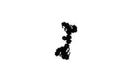 O=P(c1ccc(-c2ccc3c4ccc(-c5ccc(P(=O)(c6ccc7ccc8cccnc8c7n6)c6ccc7ccc8cccnc8c7n6)cc5)cc4c4ccccc4c3c2)cc1)(c1ccc2ccc3cccnc3c2n1)c1ccc2ccc3cccnc3c2n1